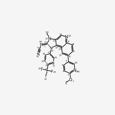 COc1ccc(-c2ccc3ncc4c(c3c2)n(-c2ccc(C(F)(F)F)nc2)/c(=N\C#N)n4C)cn1